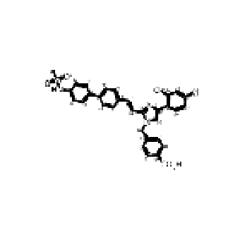 CS(=O)(=O)Nc1ccc(-c2ccc(/C=C/c3nc(-c4ccc(Cl)cc4Cl)cn3Cc3ccc(C(=O)O)cc3)cc2)cc1